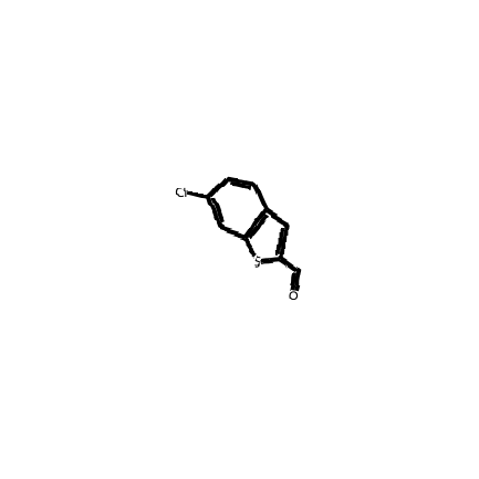 O=Cc1cc2ccc(Cl)cc2s1